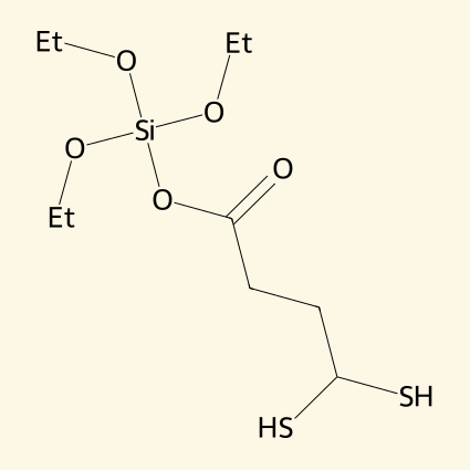 CCO[Si](OCC)(OCC)OC(=O)CCC(S)S